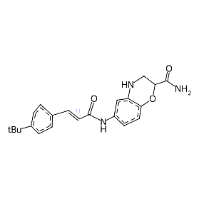 CC(C)(C)c1ccc(/C=C/C(=O)Nc2ccc3c(c2)NCC(C(N)=O)O3)cc1